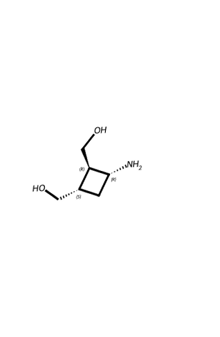 N[C@@H]1C[C@H](CO)[C@H]1CO